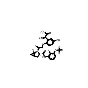 CC(=O)C(=N)c1cc(O)ccc1NCC(=O)N1[C@@H]2CC2C[C@H]1C(=O)Nc1cccc(OC(F)(F)F)c1F